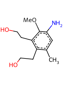 COc1c(N)cc(C)c(CCO)c1CCO